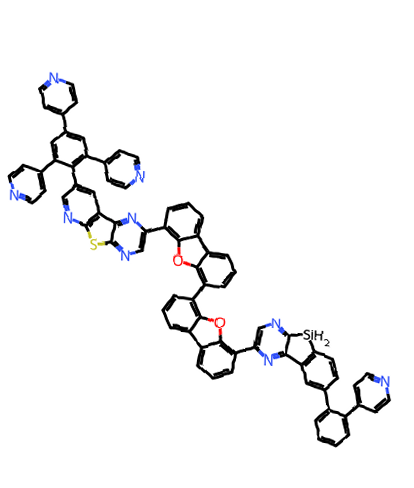 c1ccc(-c2ccc3c(c2)-c2nc(-c4cccc5c4oc4c(-c6cccc7c6oc6c(-c8cnc9sc%10ncc(-c%11c(-c%12ccncc%12)cc(-c%12ccncc%12)cc%11-c%11ccncc%11)cc%10c9n8)cccc67)cccc45)cnc2[SiH2]3)c(-c2ccncc2)c1